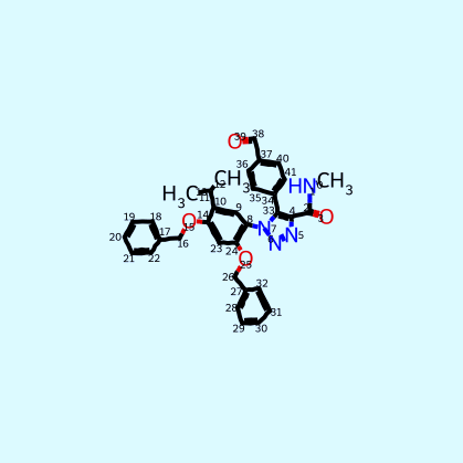 CNC(=O)c1nnn(-c2cc(C(C)C)c(OCc3ccccc3)cc2OCc2ccccc2)c1-c1ccc(C=O)cc1